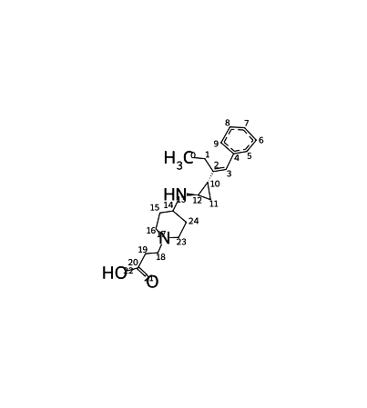 CC/C(=C\c1ccccc1)[C@@H]1C[C@H]1NC1CCN(CCC(=O)O)CC1